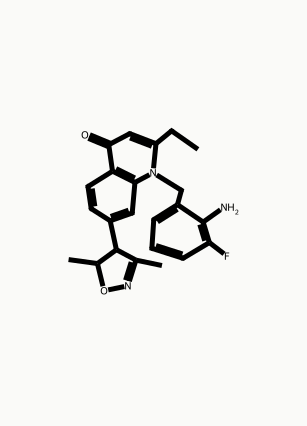 CCc1cc(=O)c2ccc(C3C(C)=NOC3C)cc2n1Cc1cccc(F)c1N